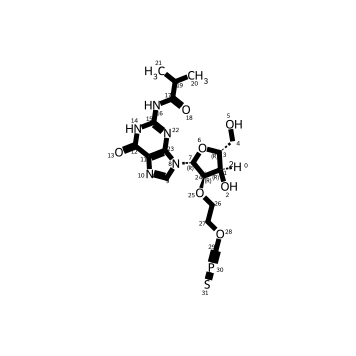 [2H][C@@]1(O)[C@@H](CO)O[C@@H](n2cnc3c(=O)[nH]c(NC(=O)C(C)C)nc32)[C@@H]1OCCOC#P=S